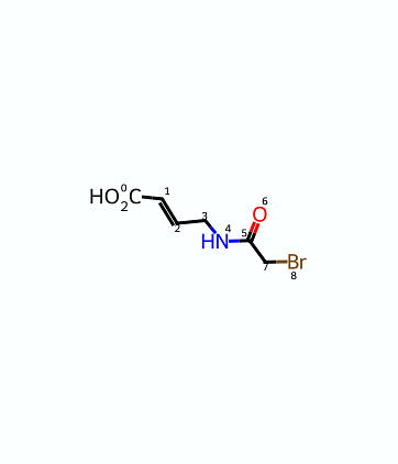 O=C(O)C=CCNC(=O)CBr